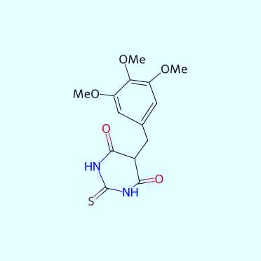 COc1cc(CC2C(=O)NC(=S)NC2=O)cc(OC)c1OC